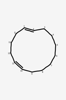 [CH]1/C=C/CCCCCCC/C=C\CC1